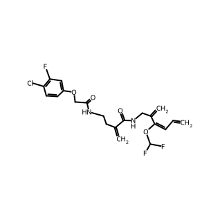 C=C/C=C(/OC(F)F)C(=C)CNC(=O)C(=C)CCNC(=O)COc1ccc(Cl)c(F)c1